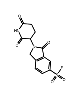 O=C1CCC(N2Cc3ccc(S(=O)(=O)F)cc3C2=O)C(=O)N1